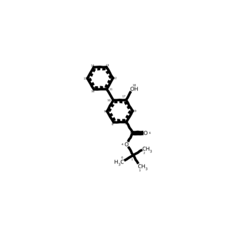 CC(C)(C)OC(=O)c1ccc(-c2ccccc2)c(O)c1